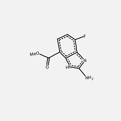 COC(=O)c1ccc(F)c2nc(N)[nH]c12